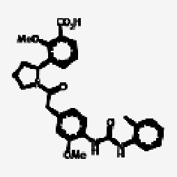 COc1cc(CC(=O)N2CCCC2c2cccc(C(=O)O)c2OC)ccc1NC(=O)Nc1ccccc1C